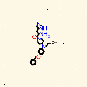 CC(C)CCN(c1ccc(OCc2ccccc2)cc1)C1CCN(C(=O)C(N)Cc2cnc[nH]2)CC1